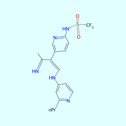 CCCc1cc(N/C=C(\C(C)=N)c2ccc(NS(=O)(=O)C(F)(F)F)nc2)ccn1